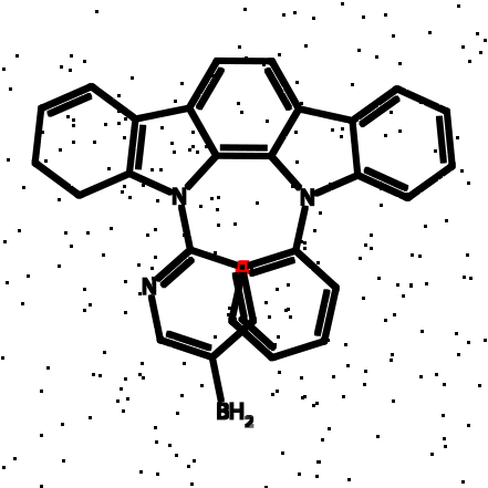 Bc1ccc(-n2c3c(c4ccc5c6ccccc6n(-c6ccccc6)c5c42)C=CCC3)nc1